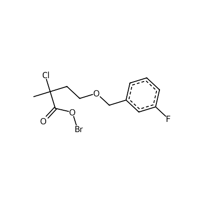 CC(Cl)(CCOCc1cccc(F)c1)C(=O)OBr